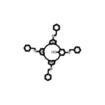 Oc1c2cc(/N=C/c3ccccc3)cc1Cc1cc(/N=C/c3ccccc3)cc(c1O)Cc1cc(/N=C/c3ccccc3)cc(c1O)Cc1cc(/N=C/c3ccccc3)cc(c1O)C2